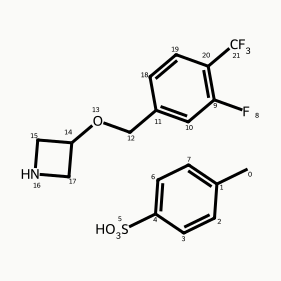 Cc1ccc(S(=O)(=O)O)cc1.Fc1cc(COC2CNC2)ccc1C(F)(F)F